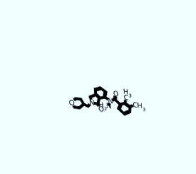 Cc1cccc(C(=O)N(N)c2cccc3c2C(=O)N(CC2CCOCC2)C3)c1C